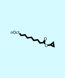 CCCCCCCCCCCCCCCC(=O)OC1CC1